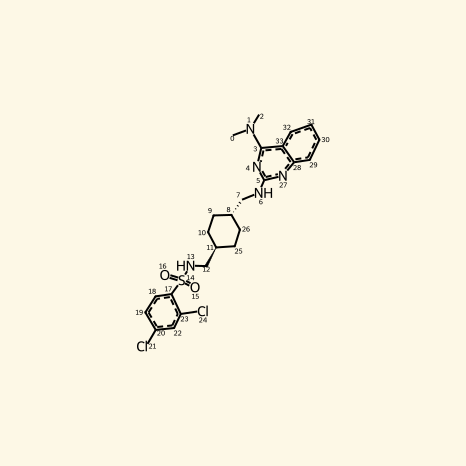 CN(C)c1nc(NC[C@H]2CC[C@H](CNS(=O)(=O)c3ccc(Cl)cc3Cl)CC2)nc2ccccc12